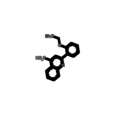 COCOc1ccccc1-c1cc(C(=O)O)c2ccccc2n1